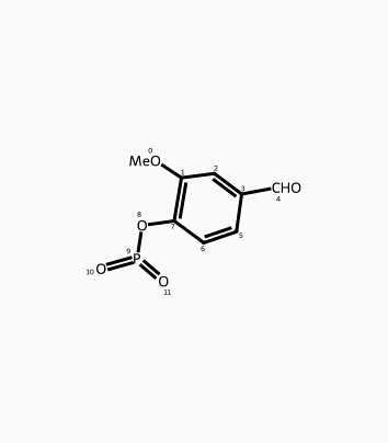 COc1cc(C=O)ccc1OP(=O)=O